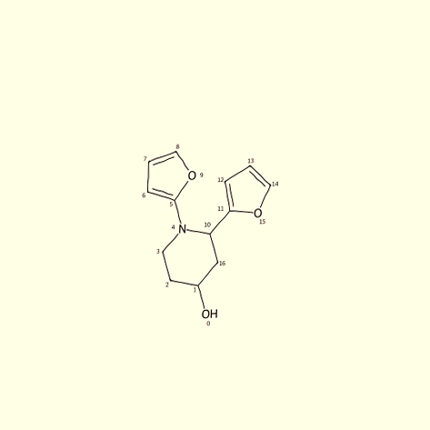 OC1CCN(c2ccco2)C(c2ccco2)C1